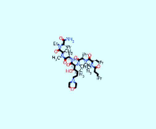 CC[C@H](NC(=O)[C@H]([C@H](O)[C@H](C)CCN1CCOCC1)N(C)C(=O)[C@H](C(C)C)N(C)C(=O)[C@H](CC(C)C)N(C)C(=O)CCC(C)C)C(=O)N(C)[C@H](C)C(=O)N(CC)[C@H](C(N)=O)C(C)C